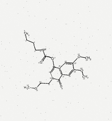 CCCCNC(=O)Oc1cn(CCOC)c(=O)c2cc(OC)c(OC)cc12